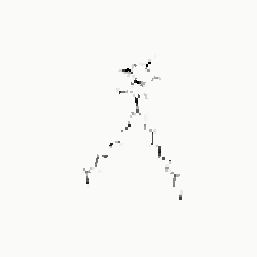 CCCCCCCCCCCNC(CCCCCCCCC(C)O)c1nc2c(c(=O)[nH]c(=O)n2C)n1C